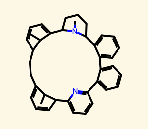 CC1C2=CC=CC1CCC1=CC=CC(c3cccc(n3)-c3ccccc3-c3ccccc3C3CCCC2N3C)C1C